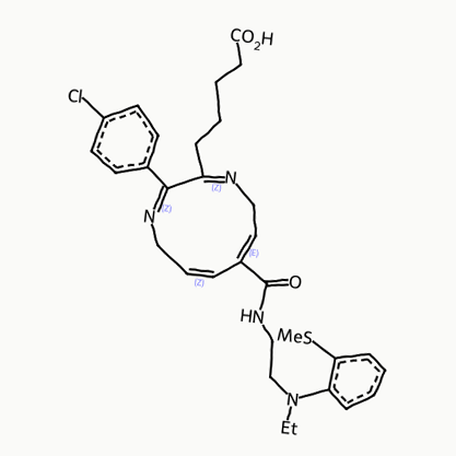 CCN(CCNC(=O)C1=C/C/N=C(CCCCC(=O)O)\C(c2ccc(Cl)cc2)=N/C/C=C\1)c1ccccc1SC